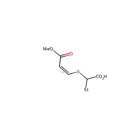 CCC(S/C=C\C(=O)OC)C(=O)O